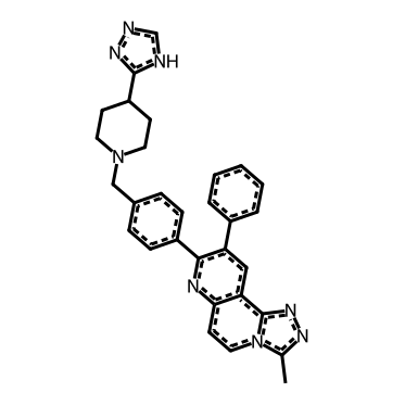 Cc1nnc2c3cc(-c4ccccc4)c(-c4ccc(CN5CCC(c6nnc[nH]6)CC5)cc4)nc3ccn12